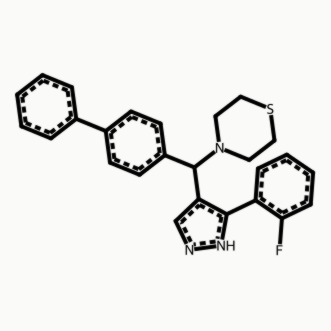 Fc1ccccc1-c1[nH]ncc1C(c1ccc(-c2ccccc2)cc1)N1CCSCC1